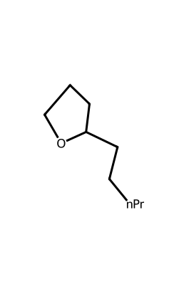 CCCCCC1CCCO1